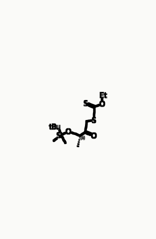 CCOC(=S)SCC(=O)[C@H](C)O[Si](C)(C)C(C)(C)C